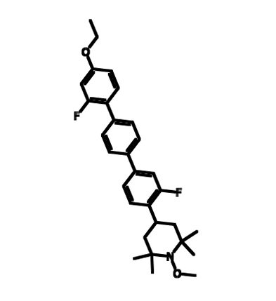 CCOc1ccc(-c2ccc(-c3ccc(C4CC(C)(C)N(OC)C(C)(C)C4)c(F)c3)cc2)c(F)c1